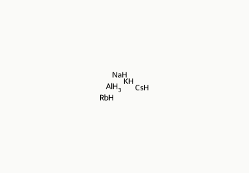 [AlH3].[CsH].[KH].[NaH].[RbH]